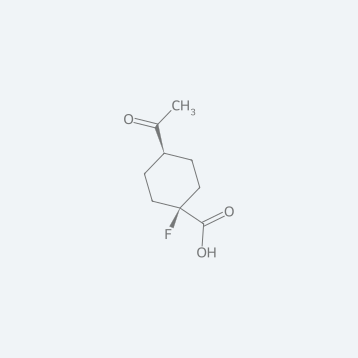 CC(=O)[C@H]1CC[C@](F)(C(=O)O)CC1